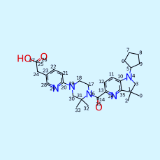 CC1(C)CN(C2CCCC2)c2ccc(C(=O)N3CCN(c4ccc(CC(=O)O)cn4)CC3(C)C)nc21